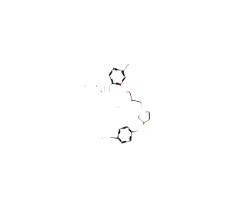 CC(=O)Nc1ccc(C)cc1OCC(O)CN1CCC(Oc2ccc(Cl)cc2)C1